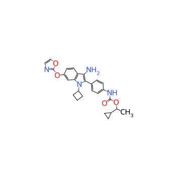 CC(OC(=O)Nc1ccc(-c2c(N)c3ccc(Oc4ncco4)cc3n2C2CCC2)cc1)C1CC1